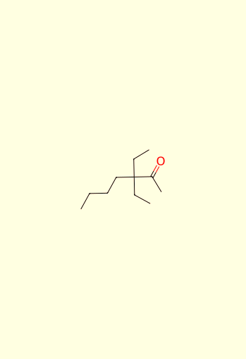 CCCCC(CC)(CC)C(C)=O